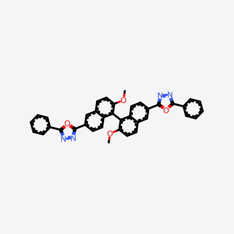 COc1ccc2cc(-c3nnc(-c4ccccc4)o3)ccc2c1-c1c(OC)ccc2cc(-c3nnc(-c4ccccc4)o3)ccc12